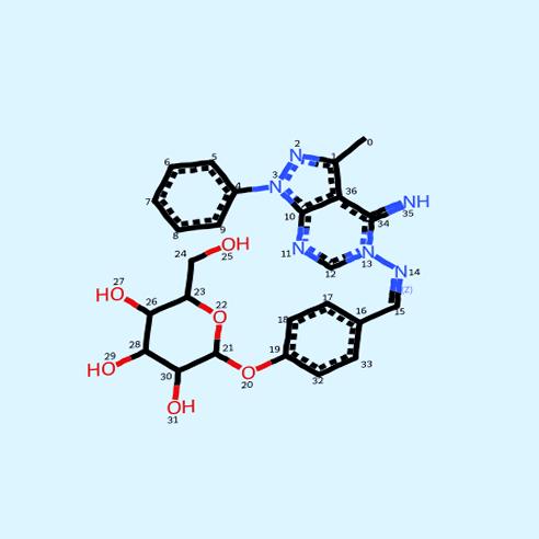 Cc1nn(-c2ccccc2)c2ncn(/N=C\c3ccc(OC4OC(CO)C(O)C(O)C4O)cc3)c(=N)c12